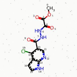 COC(=O)C(=O)NNC(=O)c1cnc2[nH]ccc2c1Cl